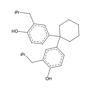 CC(C)Cc1cc(C2(c3ccc(O)c(CC(C)C)c3)CCCCC2)ccc1O